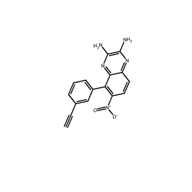 C#Cc1cccc(-c2c([N+](=O)[O-])ccc3nc(N)c(N)nc23)c1